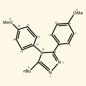 CCCCc1nnc(-c2ccc(OC)cc2)n1-c1ccc(OC)cc1